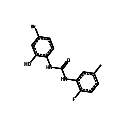 Cc1ccc(F)c(NC(=O)Nc2ccc(Br)cc2O)c1